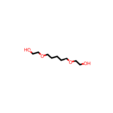 OCCOCCCCCOCCO